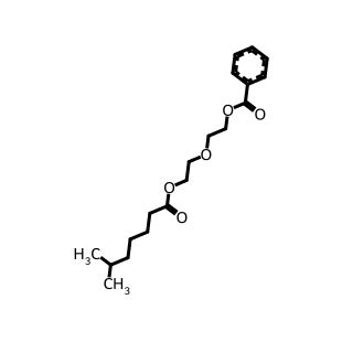 CC(C)CCCCC(=O)OCCOCCOC(=O)c1ccccc1